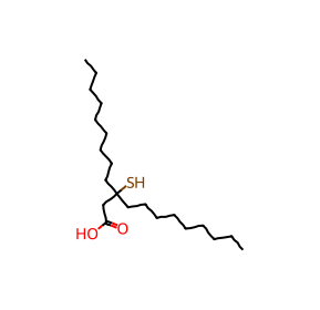 CCCCCCCCCC(S)(CCCCCCCCC)CC(=O)O